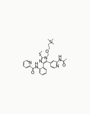 CSc1nc(-c2ccccc2NC(=O)c2ccccn2)c(-c2ccnc(NC(C)=O)c2)n1COCC[Si](C)(C)C